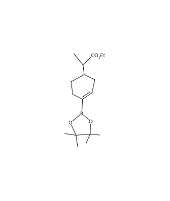 CCOC(=O)C(C)C1CC=C(B2OC(C)(C)C(C)(C)O2)CC1